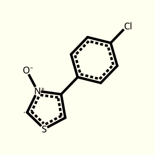 [O-][n+]1[c]scc1-c1ccc(Cl)cc1